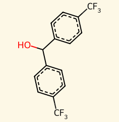 OC(c1ccc(C(F)(F)F)cc1)c1ccc(C(F)(F)F)cc1